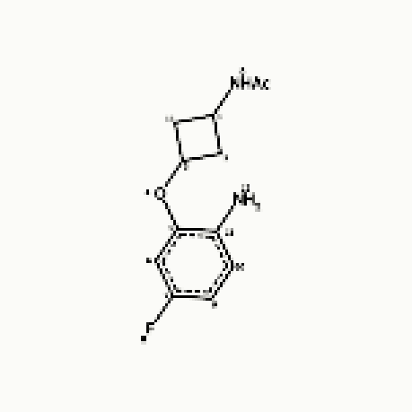 CC(=O)NC1CC(Oc2cc(F)ccc2N)C1